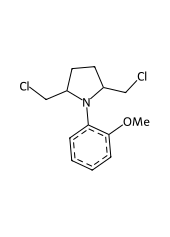 COc1ccccc1N1C(CCl)CCC1CCl